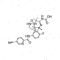 CC1(C)C(NC(=O)O)=N[C@](C)(c2cc(NC(=O)c3ccc(C#N)cn3)ccc2F)[C@@H]2CCN[SH]21=O